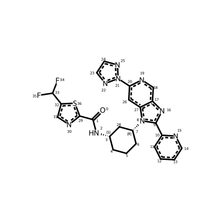 O=C(N[C@H]1CCC[C@@H](n2c(-c3ccccn3)nc3cnc(-n4nccn4)cc32)C1)c1ncc(C(F)F)s1